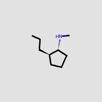 CCC[C@@H]1CCC[C@H]1NC